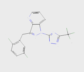 Fc1ccc(F)c(Cc2nn(-c3nc(C(F)(F)F)n[nH]3)c3cccnc23)c1